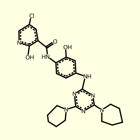 O=C(Nc1ccc(Nc2nc(N3CCCCC3)nc(N3CCCCC3)n2)cc1O)c1cc(Cl)cnc1O